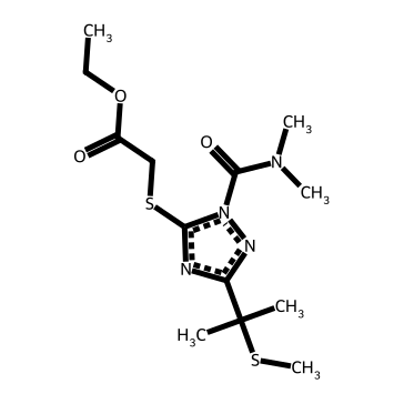 CCOC(=O)CSc1nc(C(C)(C)SC)nn1C(=O)N(C)C